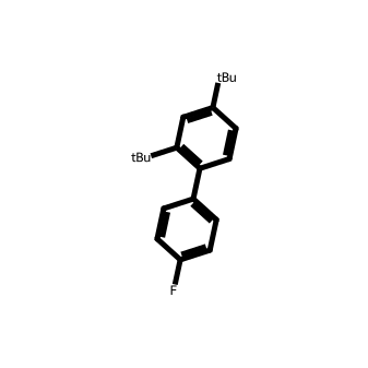 CC(C)(C)c1ccc(-c2ccc(F)cc2)c(C(C)(C)C)c1